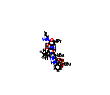 C=CCNC(=O)C(=O)C(CCC(C)C)NC(=O)[C@@H]1[C@@H]2[C@H](CN1C(=O)[C@@H](NC(=O)NC1(CS(=O)(=O)C(C)(C)C)CCCCC1)C(C)(C)C)C2(C)C